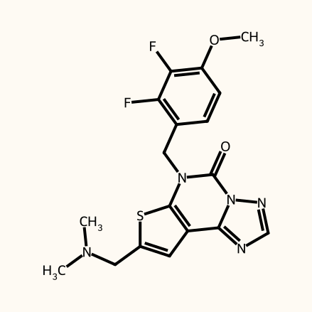 COc1ccc(Cn2c(=O)n3ncnc3c3cc(CN(C)C)sc32)c(F)c1F